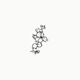 CCC(N)(CC)CO[C@H]1[C@H](n2ncnc2C(N)=O)C[C@@]23COC[C@]1(C)[C@@H]2CC[C@H]1C3=CC[C@@]2(C)[C@H](C(=O)O)[C@@](C)([C@H](C)C(C)C)CC[C@]12C